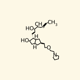 CC#CC[C@H](C)[C@H](O)C=C[C@@H]1[C@H]2CC(=CCOCCN3CCCC3)C[C@H]2C[C@H]1O